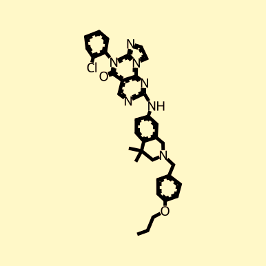 CCCOc1ccc(CN2Cc3cc(Nc4ncc5c(=O)n(-c6ccccc6Cl)c6nccn6c5n4)ccc3C(C)(C)C2)cc1